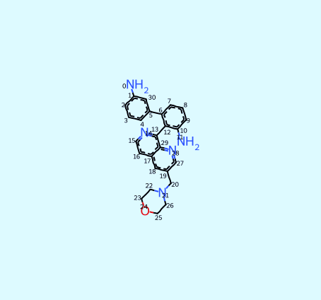 Nc1cccc(-c2cccc(N)c2-c2nccc3cc(CN4CCOCC4)cnc23)c1